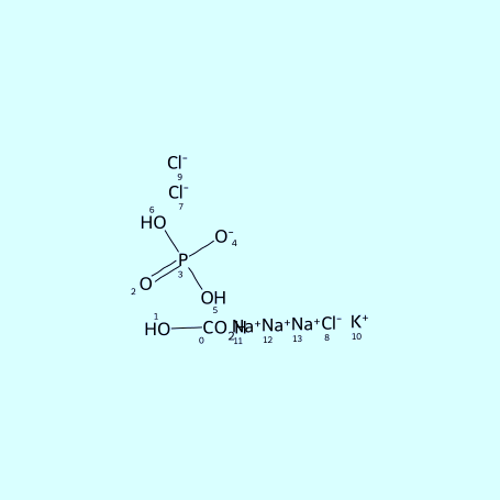 O=C(O)O.O=P([O-])(O)O.[Cl-].[Cl-].[Cl-].[K+].[Na+].[Na+].[Na+]